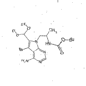 CCOC(OCC)c1c(Br)c2c(N)ncnc2n1CC(C)NC(=O)OC(C)(C)C